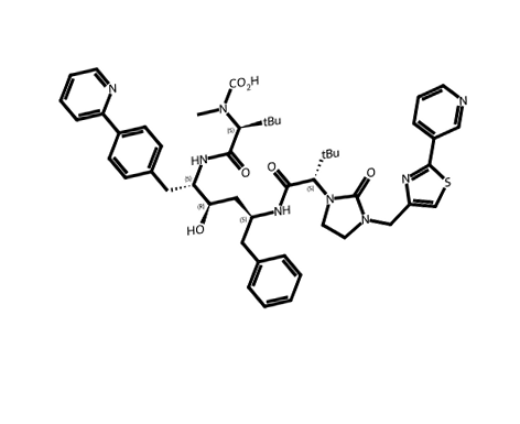 CN(C(=O)O)[C@H](C(=O)N[C@@H](Cc1ccc(-c2ccccn2)cc1)[C@H](O)C[C@H](Cc1ccccc1)NC(=O)[C@@H](N1CCN(Cc2csc(-c3cccnc3)n2)C1=O)C(C)(C)C)C(C)(C)C